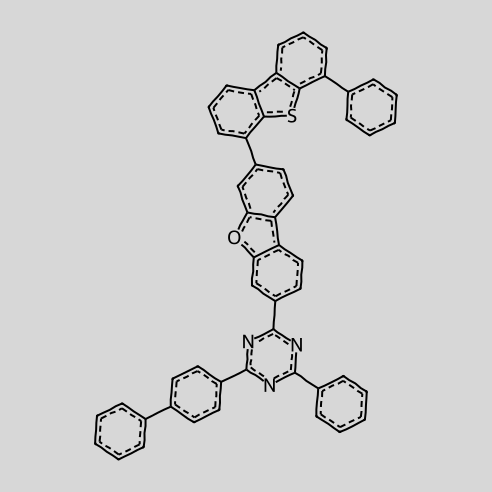 c1ccc(-c2ccc(-c3nc(-c4ccccc4)nc(-c4ccc5c(c4)oc4cc(-c6cccc7c6sc6c(-c8ccccc8)cccc67)ccc45)n3)cc2)cc1